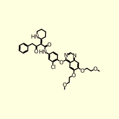 COCCOc1cc2ncnc(Oc3ccc(NC(=O)/C(C(=O)Cc4ccccc4)=C4\CCCCN4)cc3Cl)c2cc1OCCOC